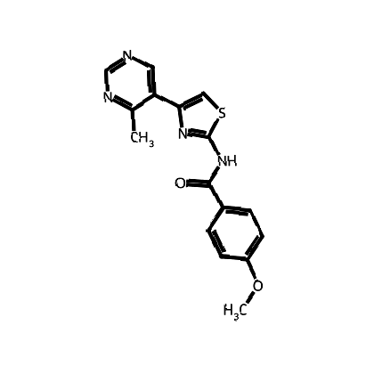 COc1ccc(C(=O)Nc2nc(-c3cncnc3C)cs2)cc1